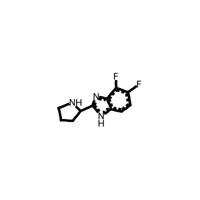 Fc1ccc2[nH]c(C3CCCN3)nc2c1F